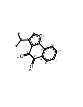 CC(C)c1coc2c1C(=O)C(=O)c1ccccc1-2